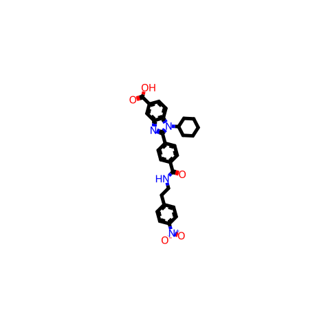 O=C(O)c1ccc2c(c1)nc(-c1ccc(C(=O)NCCc3ccc([N+](=O)[O-])cc3)cc1)n2C1CCCCC1